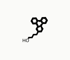 OCCCCc1ccc2c3ccccc3c3ccccc3c2c1